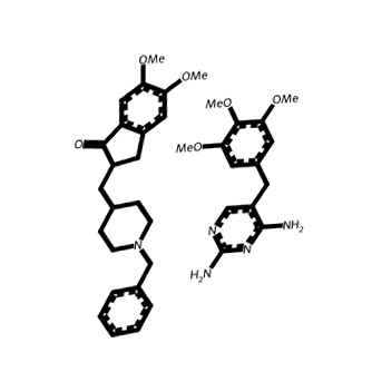 COc1cc(Cc2cnc(N)nc2N)cc(OC)c1OC.COc1cc2c(cc1OC)C(=O)C(CC1CCN(Cc3ccccc3)CC1)C2